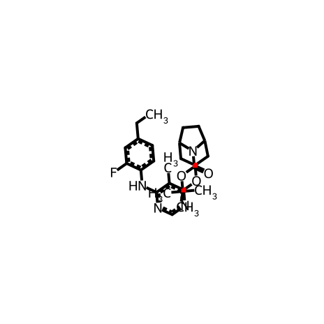 CCc1ccc(Nc2ncnc(OC3CC4CCC(C3)N4C(=O)OC(C)(C)C)c2C)c(F)c1